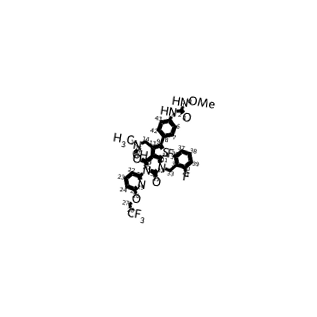 CONC(=O)Nc1ccc(-c2sc3c(c2CN(C)C)c(=O)n(-c2cccc(OCC(F)(F)F)n2)c(=O)n3Cc2c(F)cccc2F)cc1